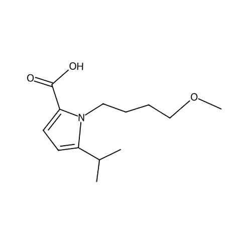 COCCCCn1c(C(=O)O)ccc1C(C)C